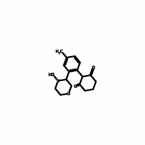 Cc1ccc(C2C(=O)CCCC2=O)c(C2COCCN2O)c1